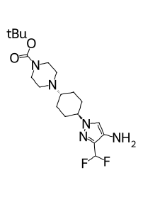 CC(C)(C)OC(=O)N1CCN([C@H]2CC[C@H](n3cc(N)c(C(F)F)n3)CC2)CC1